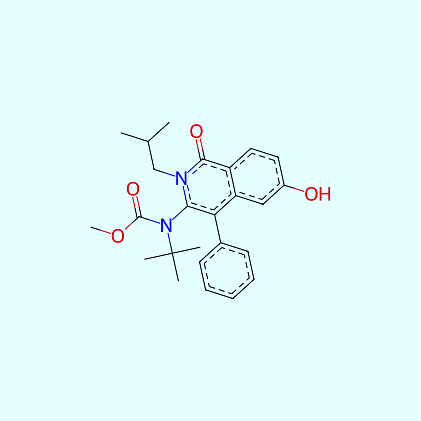 COC(=O)N(c1c(-c2ccccc2)c2cc(O)ccc2c(=O)n1CC(C)C)C(C)(C)C